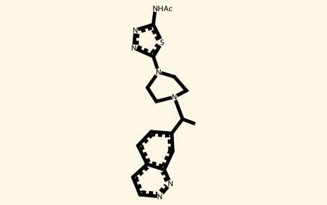 CC(=O)Nc1nnc(N2CCN(C(C)c3ccc4ccnnc4c3)CC2)s1